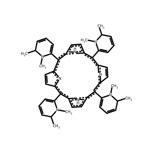 CC1C=CC=C(c2c3nc(c(C4=CC=CC(C)N4C)c4ccc([nH]4)c(C4=CC=CC(C)N4C)c4nc(c(C5=CC=CC(C)N5C)c5ccc2[nH]5)C=C4)C=C3)N1C